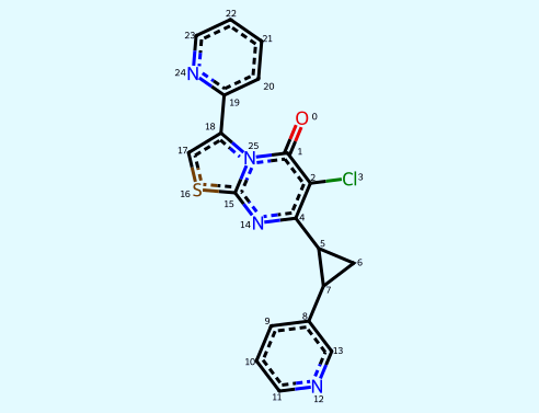 O=c1c(Cl)c(C2CC2c2cccnc2)nc2scc(-c3ccccn3)n12